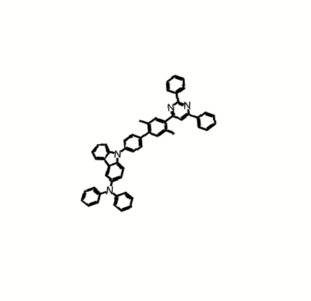 Cc1cc(-c2cc(-c3ccccc3)nc(-c3ccccc3)n2)c(C)cc1-c1ccc(-n2c3ccccc3c3cc(N(c4ccccc4)c4ccccc4)ccc32)cc1